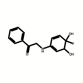 O=C(CNC1=CC(O)C(O)(F)C=C1)c1ccccc1